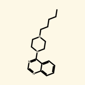 CCCCCN1CCN(c2ncnc3ccccc23)CC1